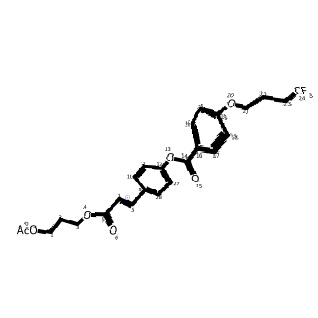 CC(=O)OCCCOC(=O)/C=C/c1ccc(OC(=O)c2ccc(OCCCC(F)(F)F)cc2)cc1